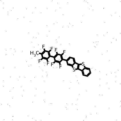 Cc1c(F)c(F)c(-c2c(F)c(F)c(-c3ccc4c(c3)sc3c5ccccc5sc43)c(F)c2F)c(F)c1F